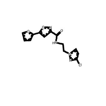 O=C(NCCn1ccc(Cl)n1)c1cc(-c2ccco2)on1